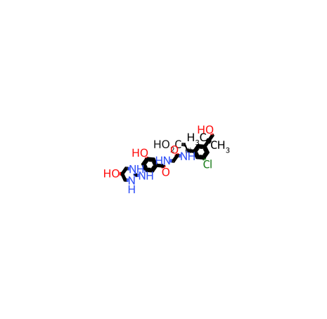 CC(C)(CO)c1cc(Cl)cc([C@H](CC(=O)O)NC(=O)CNC(=O)c2cc(O)cc(NC3NCC(O)CN3)c2)c1